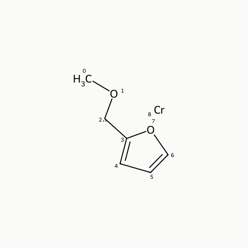 CO[C]c1ccco1.[Cr]